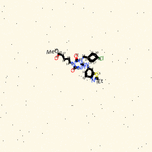 CCc1nc2c(s1)CC(/N=c1\[nH]c(=O)n(CCCCC(=O)OC)c(=O)n1Cc1ccc(Cl)cc1)C=C2